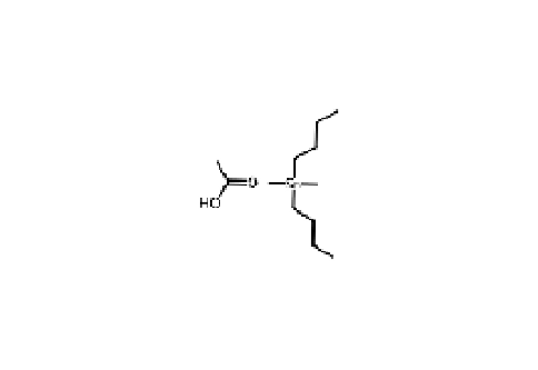 CC(=O)O.CCC[CH2][Sn]([CH3])([CH3])[CH2]CCC